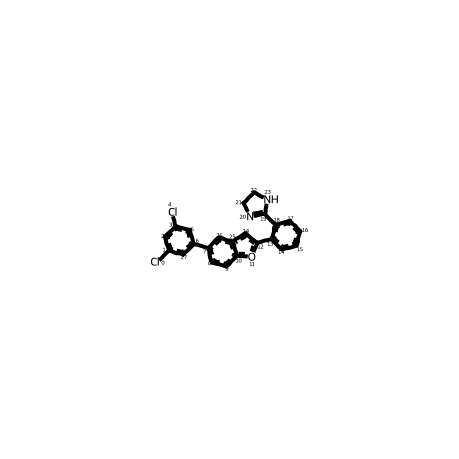 Clc1cc(Cl)cc(-c2ccc3oc(-c4ccccc4C4=NCCN4)cc3c2)c1